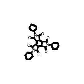 O=c1c2c3c(=O)n(-c4ccccc4)c(=O)c3c3c(=O)n(-c4ccccc4)c(=O)c3c2c(=O)n1-c1ccccc1